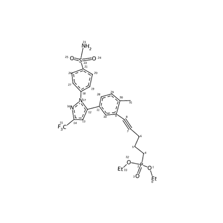 CCOP(=O)(CCCC#Cc1cc(-c2cc(C(F)(F)F)nn2-c2ccc(S(N)(=O)=O)cc2)ccc1C)OCC